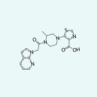 CC1CN(c2scnc2C(=O)O)CCN1C(=O)Cn1ccc2cccnc21